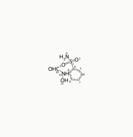 NS(=O)(=O)c1ccccc1.O=CNO